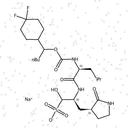 CCCCC(OC(=O)N[C@@H](CC(C)C)C(=O)N[C@@H](C[C@@H]1CCNC1=O)C(O)S(=O)(=O)[O-])C1CCC(F)(F)CC1.[Na+]